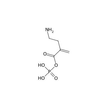 C=C(CCN)C(=O)OP(=O)(O)O